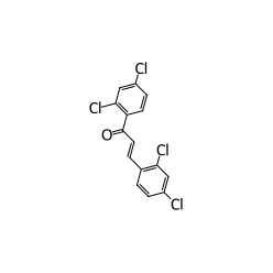 O=C(C=Cc1ccc(Cl)cc1Cl)c1ccc(Cl)cc1Cl